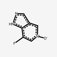 [O-][n+]1cc(F)c2[nH]ncc2c1